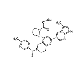 Cc1ccc(C(=O)N2CCc3cc(-c4cnc5[nH]cc(C)c5c4)cc([C@@H]4CCCN4C(=O)OC(C)(C)C)c3C2)cn1